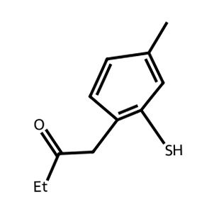 CCC(=O)Cc1ccc(C)cc1S